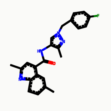 Cc1ccc2nc(C)cc(C(=O)Nc3cn(Cc4ccc(F)cc4)nc3C)c2c1